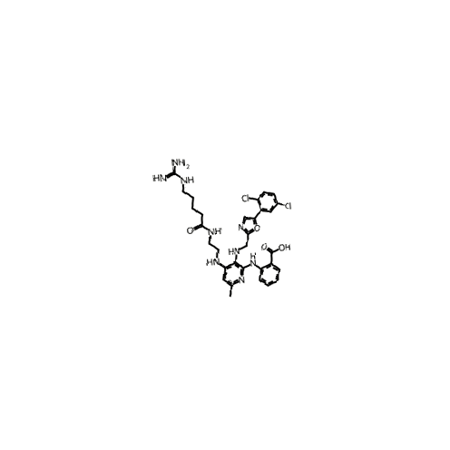 Cc1cc(NCCNC(=O)CCCCNC(=N)N)c(NCc2ncc(-c3cc(Cl)ccc3Cl)o2)c(Nc2ccccc2C(=O)O)n1